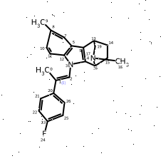 C/C(=C\n1c2c(c3cc(C)ccc31)C1CCC2N(C)C1)c1ccc(F)cc1